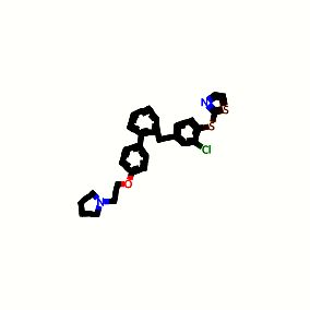 Clc1cc(Cc2ccccc2-c2ccc(OCCN3CCCC3)cc2)ccc1Sc1nccs1